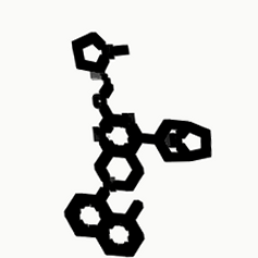 Cc1cccc2cccc(N3CCc4c(nc(OC[C@@H]5CCCN5C)nc4C4CC5CCC(C4)N5)C3)c12